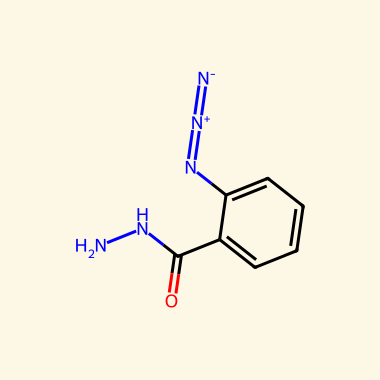 [N-]=[N+]=Nc1ccccc1C(=O)NN